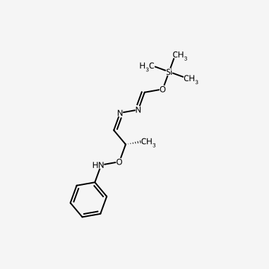 C[C@@H](/C=N\N=C\O[Si](C)(C)C)ONc1ccccc1